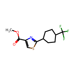 COC(=O)c1csc(C2CCC(C(F)(F)F)CC2)n1